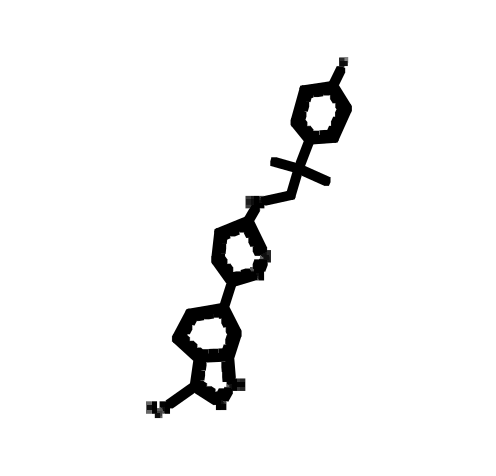 CC(C)(CNc1ccc(-c2ccc3c(N)n[nH]c3c2)nn1)c1ccc(F)cc1